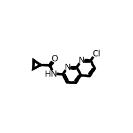 O=C(Nc1ccc2ccc(Cl)nc2n1)C1CC1